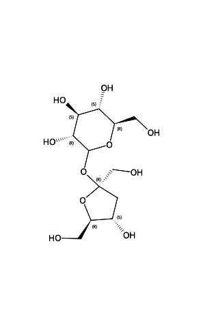 OC[C@H]1OC(O[C@@]2(CO)C[C@H](O)[C@@H](CO)O2)[C@H](O)[C@@H](O)[C@@H]1O